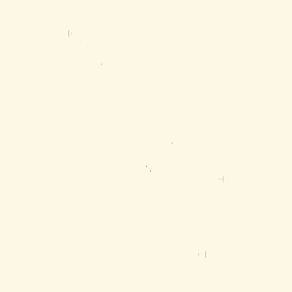 Cc1ccc(C)c(-c2ccccc2-c2ccc(=O)n(CCCc3cccc(OCC(=O)O)c3)c2)c1